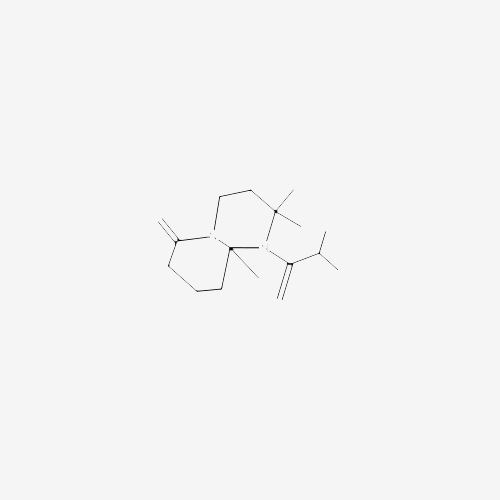 CC1(C)CCN2C(=O)CCCC2(C)N1C(=O)C(Cl)Cl